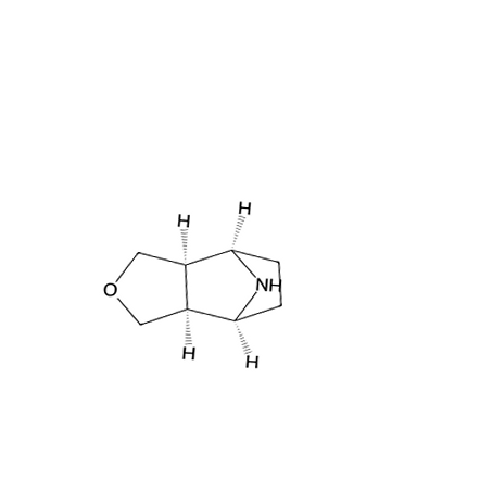 C1OC[C@H]2[C@@H]1[C@H]1CC[C@@H]2N1